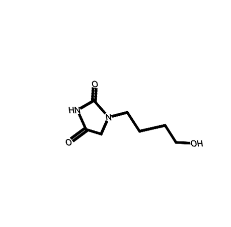 O=C1CN(CCCCO)C(=O)N1